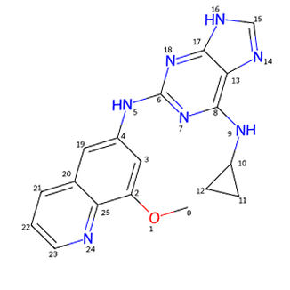 COc1cc(Nc2nc(NC3CC3)c3nc[nH]c3n2)cc2cccnc12